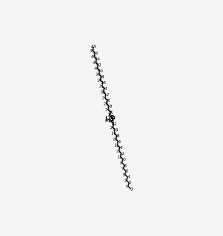 CCCCCCCCCCCCCCCCCCCCCCCCOCCCCCCCCCCCCCCCCCCCCCCCC.[Hf]